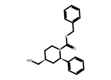 O=C(OCc1ccccc1)N1CC[C@H](CO)C[C@@H]1c1ccccc1